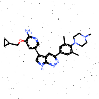 Cc1cc(-c2cc3c(-c4cnc(N)c(OCC5CC5)c4)c[nH]c3nn2)cc(C)c1N1CCN(C)CC1